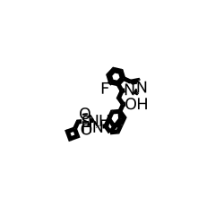 O=S(=O)(CC1CCC1)NNC1C2CC3CC1CC(C(O)CC1c4c(F)cccc4-c4cncn41)(C3)C2